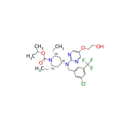 CC[C@@H]1C[C@H](N(Cc2cc(Cl)cc(C(F)(F)F)c2)c2ncc(OCCO)cn2)C[C@H](CC)N1C(=O)OC(C)C